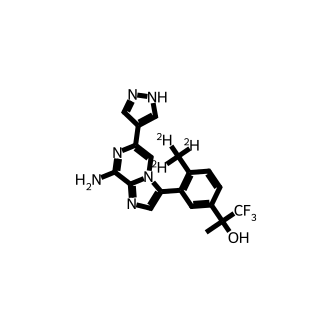 [2H]C([2H])([2H])c1ccc(C(C)(O)C(F)(F)F)cc1-c1cnc2c(N)nc(-c3cn[nH]c3)cn12